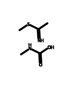 CNC(=O)O.CSC(C)=N